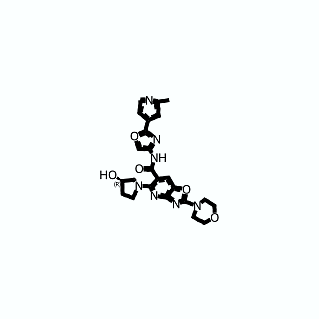 Cc1cc(-c2nc(NC(=O)c3cc4oc(N5CCOCC5)nc4nc3N3CC[C@@H](O)C3)co2)ccn1